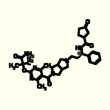 Cc1nc(OC(C)(C)C(N)=O)nc(C)c1C(=O)N1CC2CN(CC[C@H](NC(=O)C3CCC(=O)C3)c3ccccc3)CC2C1